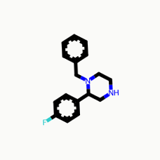 Fc1ccc(C2CNCCN2Cc2ccccc2)cc1